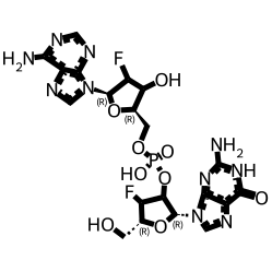 Nc1nc2c(ncn2[C@@H]2O[C@H](CO)C(F)C2OP(=O)(O)OC[C@H]2O[C@@H](n3cnc4c(N)ncnc43)C(F)C2O)c(=O)[nH]1